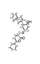 O=c1oc(-c2ccccc2)ccc1CSc1ccc(O)c(-c2ccc3ccccc3c2)c1